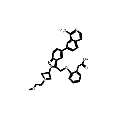 COCCN1CC(n2nc3ccc(-c4ccc5ccnc(N)c5c4)cc3c2COc2ccccc2CC(=O)O)C1